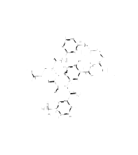 C=CC(=O)N[C@@H](CCC(=O)O)C(=O)Nc1cccc(NC/N=C\C(=C)NC(=O)c2cc(NC(=O)c3cccc(C(F)(F)F)c3)ccc2C)c1